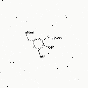 CCCCCCCCCSc1cc(SCCCCCCCCC)c(O)c(C(C)(C)C)c1